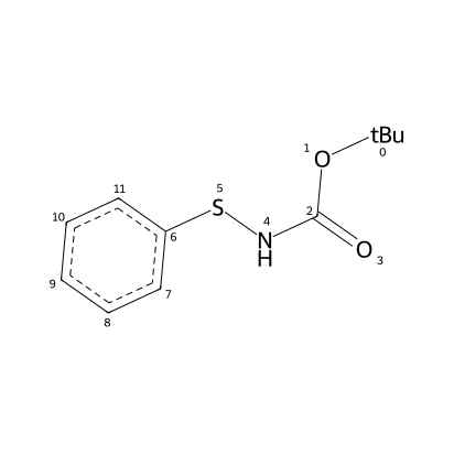 CC(C)(C)OC(=O)NSc1ccccc1